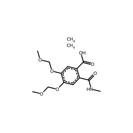 C.C.CNC(=O)c1cc(OCOC)c(OCOC)cc1C(=O)O